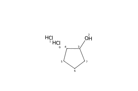 Cl.Cl.OC1CCCC1